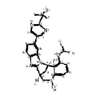 CC(C)(O)c1ncc(-c2ccc3nc4n(c3c2)[C@@H]2C[C@H]4C[S+]([O-])c3cccc(OC(F)F)c32)cn1